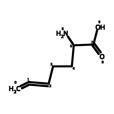 C=C=CCCC(N)C(=O)O